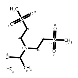 CC(Cl)N(CCS(C)(=O)=O)CCS(C)(=O)=O.Cl